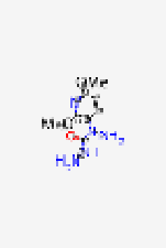 COc1ccc(N(N)C(=O)NN)c(OC)n1